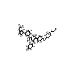 FCCN1CCC(Oc2ccc(-c3cnc(Nc4ccnc(-c5cnn(CC(F)F)c5)n4)cc3NC3CCC(F)CC3)nc2)CC1